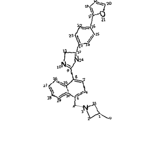 CC1CN(Cc2ccc(C3=NCC(c4ccc(-c5ccco5)cc4)=N3)c3ccccc23)C1